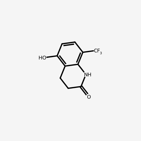 O=C1CCc2c(O)ccc(C(F)(F)F)c2N1